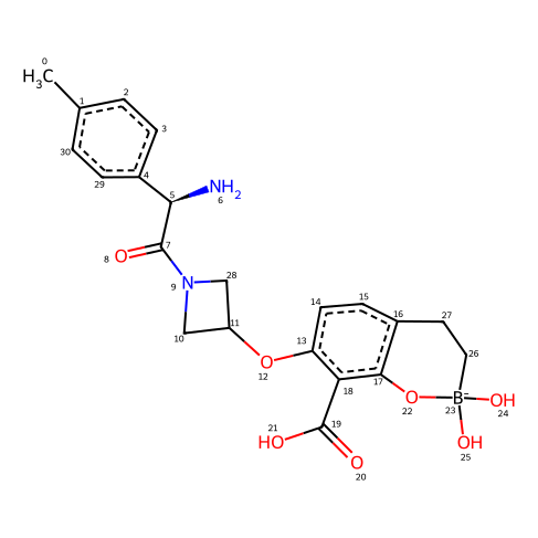 Cc1ccc([C@@H](N)C(=O)N2CC(Oc3ccc4c(c3C(=O)O)O[B-](O)(O)CC4)C2)cc1